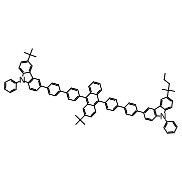 CCCC(C)(C)c1ccc2c(c1)c1cc(-c3ccc(-c4ccc(-c5c6ccccc6c(-c6ccc(-c7ccc(-c8ccc9c(c8)c8cc(C(C)(C)C)ccc8n9-c8ccccc8)cc7)cc6)c6cc(C(C)(C)C)ccc56)cc4)cc3)ccc1n2-c1ccccc1